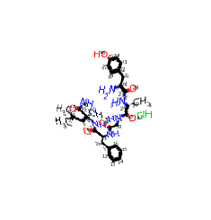 CC(C)C[C@](C)(NC(=O)[C@H](Cc1ccccc1)NC(=O)CNC(=O)[C@@H](C)NC(=O)[C@@H](N)Cc1ccc(O)cc1)C(N)=O.Cl